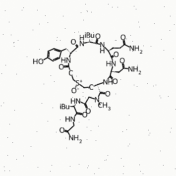 CC[C@H](C)[C@H](NC(=O)CN(C)C(=O)[C@@H]1CC[S+]([O-])CCC(=O)N[C@H](Cc2ccc(O)cc2)C(=O)N[C@@H]([C@@H](C)CC)C(=O)N[C@@H](CCC(N)=O)C(=O)N[C@@H](CC(N)=O)C(=O)N1)C(=O)NCC(N)=O